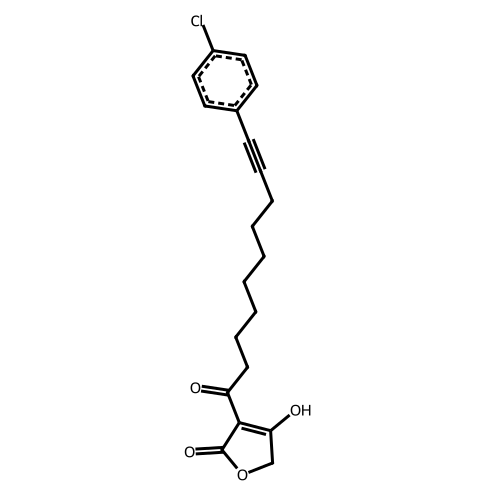 O=C(CCCCCCCC#Cc1ccc(Cl)cc1)C1=C(O)COC1=O